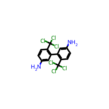 Nc1ccc(C(Cl)(Cl)Cl)c(-c2cc(N)ccc2C(Cl)(Cl)Cl)c1